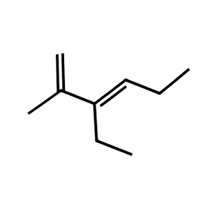 C=C(C)C(=CCC)CC